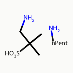 CC(C)(CN)S(=O)(=O)O.CCCCCN